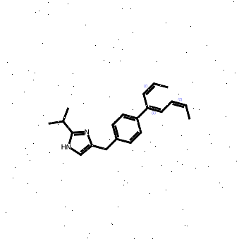 C\C=C/C=C(\C=C/C)c1ccc(Cc2c[nH]c(C(C)C)n2)cc1